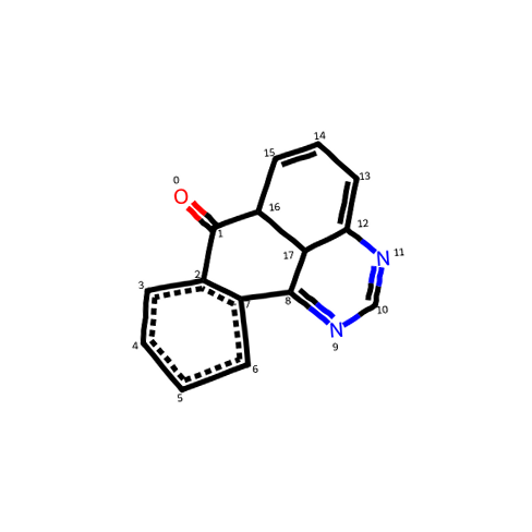 O=C1c2ccccc2C2=NC=NC3=CC=CC1C32